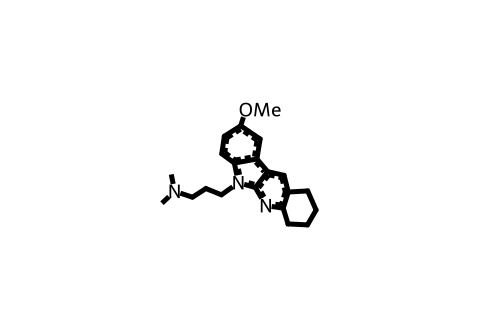 COc1ccc2c(c1)c1cc3c(nc1n2CCCN(C)C)CCCC3